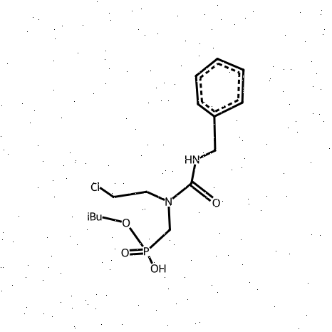 CCC(C)OP(=O)(O)CN(CCCl)C(=O)NCc1ccccc1